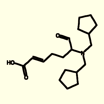 O=CC(CC/C=C/C(=O)O)N(CC1CCCC1)CC1CCCC1